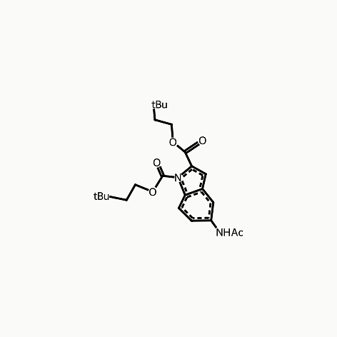 CC(=O)Nc1ccc2c(c1)cc(C(=O)OCCC(C)(C)C)n2C(=O)OCCC(C)(C)C